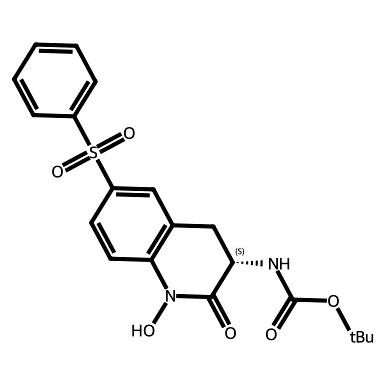 CC(C)(C)OC(=O)N[C@H]1Cc2cc(S(=O)(=O)c3ccccc3)ccc2N(O)C1=O